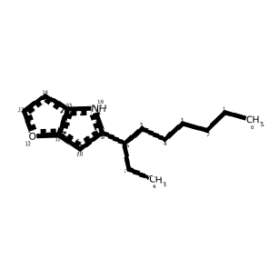 CCCCCCC(CC)c1cc2occc2[nH]1